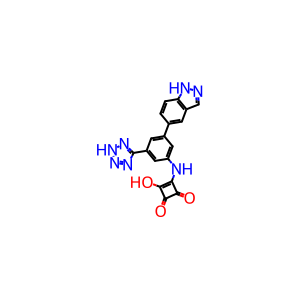 O=c1c(O)c(Nc2cc(-c3ccc4[nH]ncc4c3)cc(-c3nn[nH]n3)c2)c1=O